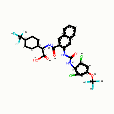 O=C(Nc1cc2ccccc2cc1C(=O)NC(C(=O)O)C1CCC(C(F)(F)F)CC1)Nc1c(Cl)cc(OC(F)(F)F)cc1Cl